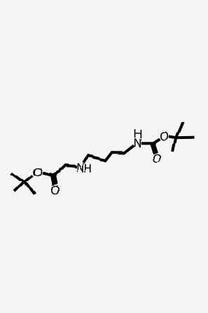 CC(C)(C)OC(=O)CNCCCCNC(=O)OC(C)(C)C